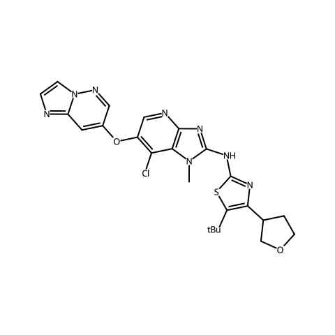 Cn1c(Nc2nc(C3CCOC3)c(C(C)(C)C)s2)nc2ncc(Oc3cnn4ccnc4c3)c(Cl)c21